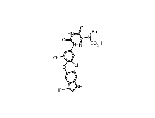 CC(C)c1c[nH]c2ccc(Oc3c(Cl)cc(-n4nc(N(C(=O)O)C(C)(C)C)c(=O)[nH]c4=O)cc3Cl)cc12